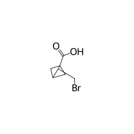 O=C(O)C12CC(C1)C2CBr